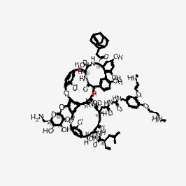 CC[C@H](CC(C)C)C(=O)N[C@H]1C(=O)C[C@@H](CC(=O)NC(=O)Nc2ccc(OCCNC)c(OCCNC)c2)C(=O)N[C@H]2C(=O)C[C@H]3C(=O)N[C@H](C(=O)N[C@H](C(=O)CC4C5CC6CC(C5)CC4C6)c4cc(O)cc(O)c4-c4cc3ccc4O)[C@H](O)c3ccc(c(Cl)c3)Oc3cc2cc(c3O[C@@H]2O[C@H](CN)[C@@H](O)[C@H](O)[C@H]2O)Oc2ccc(cc2Cl)[C@H]1O